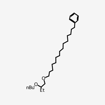 CCCCOC(CC)COCCCCCCCCCCCCCCCc1ccccc1